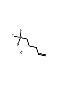 C=CCCC[B-](F)(F)F.[K+]